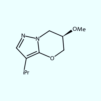 CO[C@H]1COc2c(C(C)C)cnn2C1